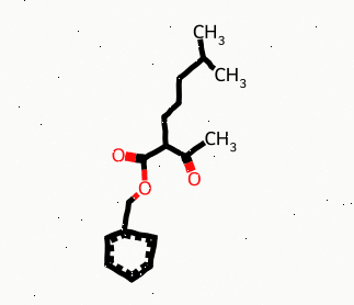 CC(=O)C(CCCC(C)C)C(=O)OCc1ccccc1